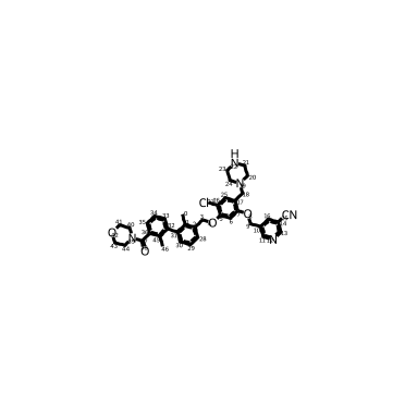 Cc1c(COc2cc(OCc3cncc(C#N)c3)c(CN3CCNCC3)cc2Cl)cccc1-c1cccc(C(=O)N2CCOCC2)c1C